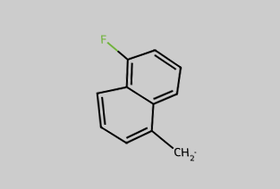 [CH2]c1cccc2c(F)cccc12